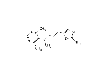 Cc1cccc(C)c1C(C)CCCC1=CNN(N)S1